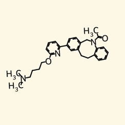 CC(=O)N1Cc2ccc(-c3cccc(OCCCCN(C)C)n3)cc2CCc2ccccc21